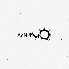 CC(=O)NCCN1CCCCCC1